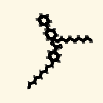 CCCCCCCCCc1ccc(C(=O)OC2(SCCCCCCCC)C=CC(c3ccccc3)=CC2)cc1